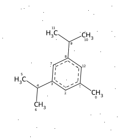 Cc1cc(C(C)C)[c]c(C(C)C)c1